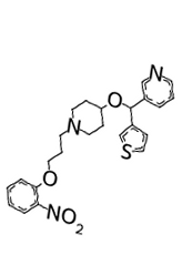 O=[N+]([O-])c1ccccc1OCCCN1CCC(OC(c2cccnc2)c2ccsc2)CC1